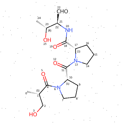 C[C@@H](CO)C(=O)N1CCC[C@H]1C(=O)N1CCC[C@H]1C(=O)N[C@H](C=O)[C@@H](C)O